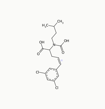 CC(C)CCN(C(=O)O)C(C/C=C\c1cc(Cl)cc(Cl)c1)C(=O)O